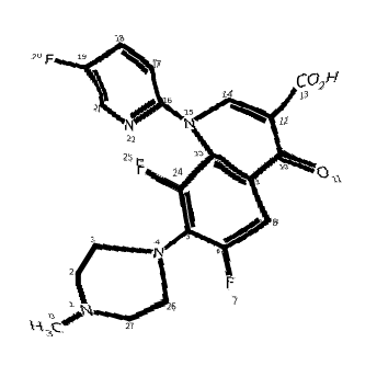 CN1CCN(c2c(F)cc3c(=O)c(C(=O)O)cn(-c4ccc(F)cn4)c3c2F)CC1